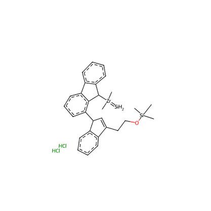 C[Si](C)(C)OCCC1=CC(c2cccc3c2[CH]([Zr]([CH3])([CH3])=[SiH2])c2ccccc2-3)c2ccccc21.Cl.Cl